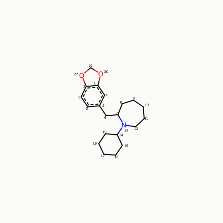 c1cc2c(cc1CC1CCCCCN1C1CCCCC1)OCO2